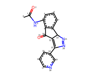 CC(=O)Nc1cccc2c1C(=O)C1=C(c3cccnc3)N=NC12